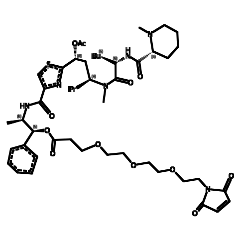 CC[C@H](C)[C@H](NC(=O)[C@H]1CCCCN1C)C(=O)N(C)[C@H](C[C@@H](OC(C)=O)c1nc(C(=O)N[C@H](C)[C@@H](OC(=O)CCOCCOCCOCCN2C(=O)C=CC2=O)c2ccccc2)cs1)C(C)C